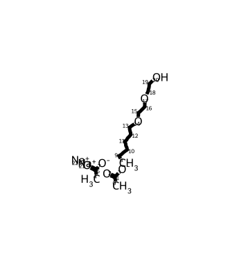 CC(=O)[O-].CC(=O)[O-].CCCCCCOCCOCCO.[Na+].[Na+]